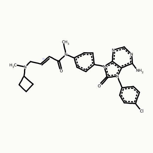 CN(C(=O)/C=C/CN(C)C1CCC1)c1ccc(-n2c(=O)n(-c3ccc(Cl)cc3)c3c(N)ncnc32)cc1